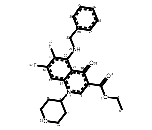 CCOC(=O)c1cn(C2CCOCC2)c2cc(F)c(F)c(NCc3ccccc3)c2c1=O